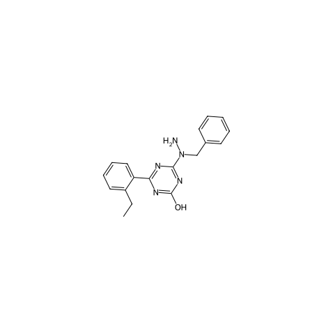 CCc1ccccc1-c1nc(O)nc(N(N)Cc2ccccc2)n1